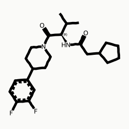 CC(C)[C@@H](NC(=O)CC1CCCC1)C(=O)N1CCC(c2ccc(F)c(F)c2)CC1